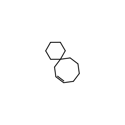 C1=C\CC2(CCCC/1)CCCCC2